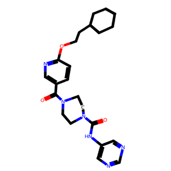 O=C(Nc1cncnc1)N1CCN(C(=O)c2ccc(OCCC3CCCCC3)nc2)CC1